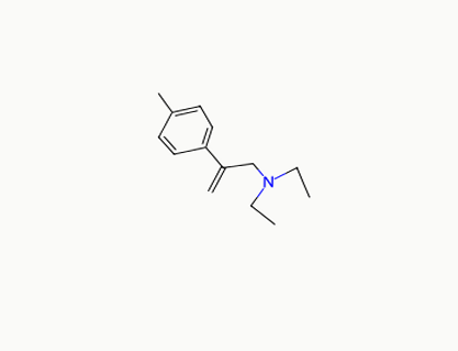 C=C(CN(CC)CC)c1ccc(C)cc1